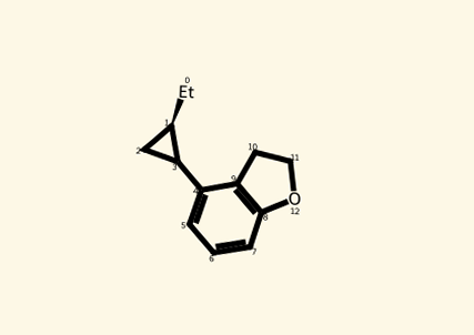 CC[C@@H]1CC1c1cccc2c1CCO2